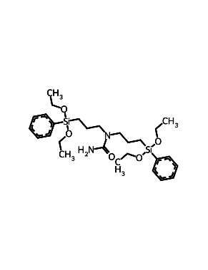 CCO[Si](CCCN(CCC[Si](OCC)(OCC)c1ccccc1)C(N)=O)(OCC)c1ccccc1